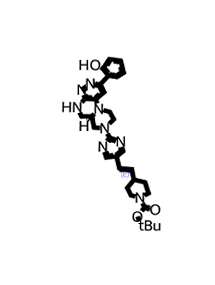 CC(C)(C)OC(=O)N1CCC(/C=C/c2cnc(N3CCN4c5cc(-c6ccccc6O)nnc5NC[C@@H]4C3)nc2)CC1